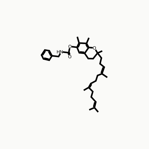 CC(C)=CCCC(C)=CCCC(C)=CCCC1(C)CCc2cc(OC(=O)NCc3ccccc3)c(C)c(C)c2O1